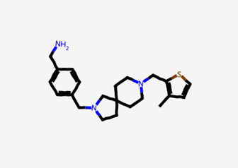 Cc1ccsc1CN1CCC2(CC1)CCN(Cc1ccc(CN)cc1)C2